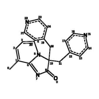 CC1=CC=CN2C1=NC(=O)C2(Cc1ccncc1)Cc1ccncc1